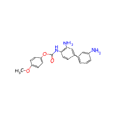 COc1ccc(OC(=O)Nc2ccc(-c3cccc(N)c3)cc2N)cc1